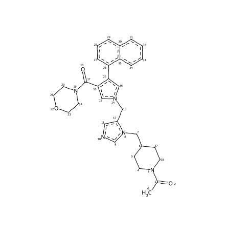 CC(=O)N1CCC(Cn2cncc2Cn2cc(C(=O)N3CCOCC3)c(-c3cccc4ccccc34)c2)CC1